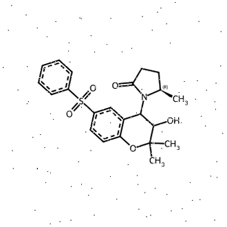 C[C@@H]1CCC(=O)N1C1c2cc(S(=O)(=O)c3ccccc3)ccc2OC(C)(C)C1O